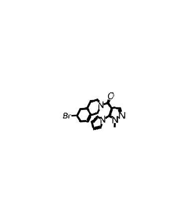 Cn1ncc(C(=O)N2CCC3CC(Br)CC=C3C2)c1-n1cccc1